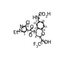 CCn1cc(S(=O)(=O)N2CC([C@@H](O)C(F)(F)F)Oc3ccc(NC(=O)O)cc32)c(Cl)n1